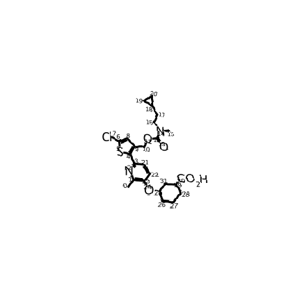 Cc1nc(-c2sc(Cl)cc2COC(=O)N(C)CCC2CC2)ccc1O[C@H]1CCC[C@H](C(=O)O)C1